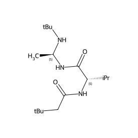 CC(C)[C@H](NC(=O)CC(C)(C)C)C(=O)N[C@@H](C)NC(C)(C)C